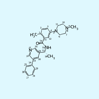 Cc1ccc(N2CCN(C)CC2)cc1C(=O)N[C@H](C)c1cncc(-c2ccccc2)c1